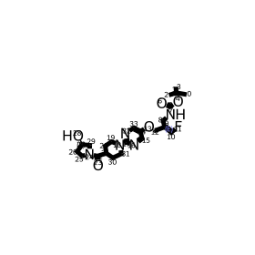 CC(C)(C)OC(=O)NC/C(=C\F)COc1cnc(N2CCC(C(=O)N3CC[C@H](O)C3)CC2)nc1